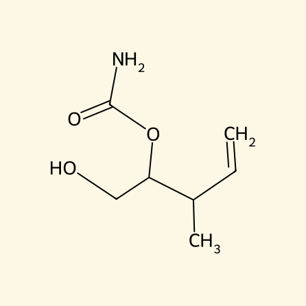 C=CC(C)C(CO)OC(N)=O